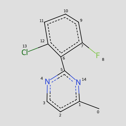 Cc1ccnc(-c2c(F)cccc2Cl)n1